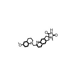 COc1ccc2c(c1)CCCN2Cc1ccc2cc3c(cc2n1)CC1(C3)C(=O)NC(=O)N1C